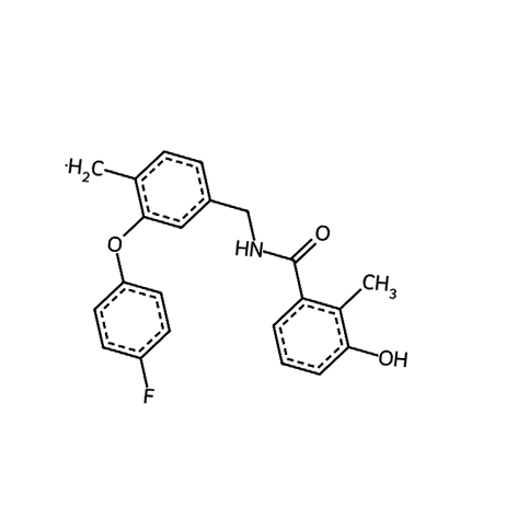 [CH2]c1ccc(CNC(=O)c2cccc(O)c2C)cc1Oc1ccc(F)cc1